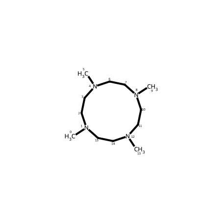 CN1CCN(C)CCN(C)CCN(C)CC1